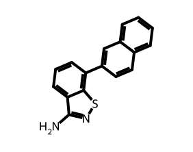 Nc1nsc2c(-c3ccc4ccccc4c3)cccc12